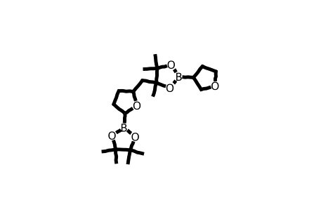 CC1(C)OB(C2CCC(CC3(C)OB(C4CCOC4)OC3(C)C)O2)OC1(C)C